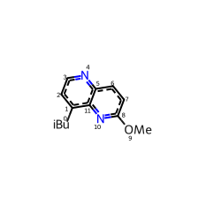 CCC(C)c1ccnc2ccc(OC)nc12